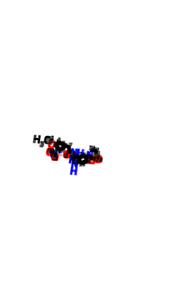 CCOc1ccc(CC(=O)Nc2n[nH]c3ccc(N4CCCS4(=O)=O)cc23)cc1[N+](=O)[O-]